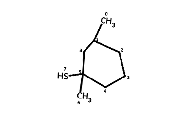 CC1CCCC(C)(S)C1